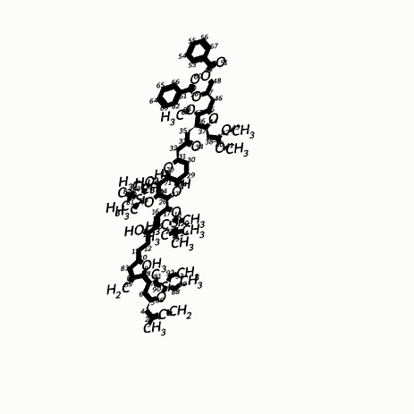 C=C=C(C)C[C@H](CCC1OC(CCC(O)/C=C/C(O[Si](C)(C)C(C)(C)C)[C@@H]2O[C@H]3CC[C@H](CC(=O)C[C@H]4[C@H](CC(OC)OC)OC(C[C@H](COC(=O)c5ccccc5)OC(=O)c5ccccc5)[C@@H]4OC)O[C@@H]3[C@H](O)C2O[Si](C)(C)C(C)(C)C)CC1=C)O[Si](CC)(CC)CC